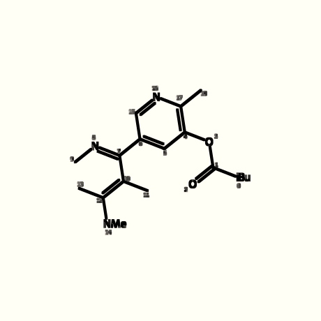 CCC(C)C(=O)Oc1cc(C(=N/C)/C(C)=C(\C)NC)cnc1C